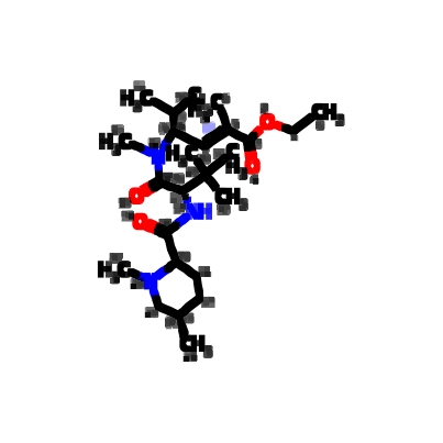 CCOC(=O)/C(C)=C/[C@H](C(C)C)N(C)C(=O)[C@@H](NC(=O)C1CC[C@@H](C)CN1C)C(C)(C)C